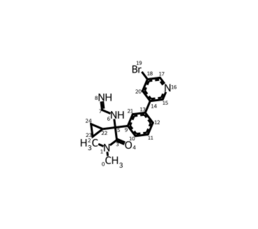 CN(C)C(=O)C(NC=N)(c1cccc(-c2cncc(Br)c2)c1)C1CC1